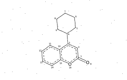 O=c1cc(C2CCCCC2)c2ccccc2o1